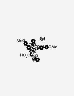 COc1ccc(-c2ccc(CC[C@H](OC(=O)O[C@@H](CCc3ccc(-c4ccc(OC)cc4)cc3)[C@H](CCn3nnc4ccccc4c3=O)C(=O)O)[C@H](CCn3nnc4ccccc4c3=O)C(=O)O)cc2)cc1.[KH].[KH]